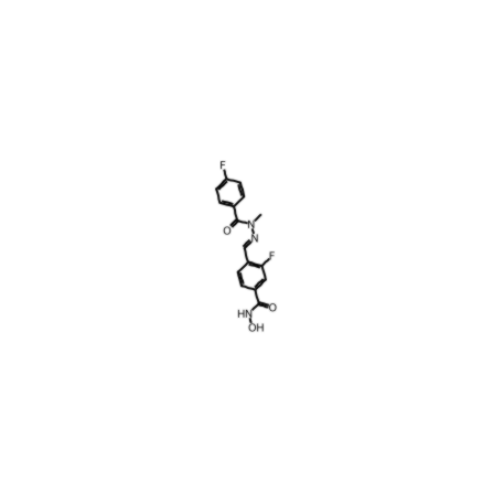 CN(N=Cc1ccc(C(=O)NO)cc1F)C(=O)c1ccc(F)cc1